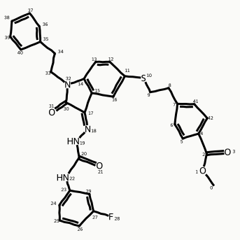 COC(=O)c1ccc(CCSc2ccc3c(c2)C(=NNC(=O)Nc2cccc(F)c2)C(=O)N3CCc2ccccc2)cc1